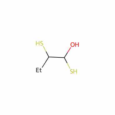 [CH2]CC(S)C(O)S